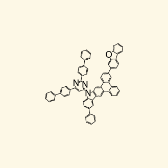 c1ccc(-c2ccc(-c3cc(-n4c5ccc(-c6ccccc6)cc5c5cc6c7ccccc7c7cc(-c8ccc9c(c8)oc8ccccc89)ccc7c6cc54)nc(-c4ccc(-c5ccccc5)cc4)n3)cc2)cc1